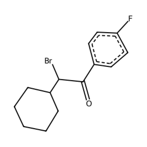 O=C(c1ccc(F)cc1)C(Br)C1CCCCC1